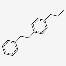 CCCc1ccc(CCc2cc[c]cc2)cc1